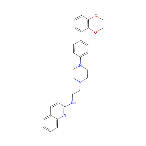 c1cc2c(c(-c3ccc(N4CCN(CCNc5ccc6ccccc6n5)CC4)cc3)c1)OCCO2